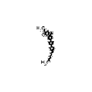 CCCCCCCCc1ccc(-c2ccc(C3CCC(C#N)(C4CCC(CCC)C(=O)C4)CC3)cc2)cc1